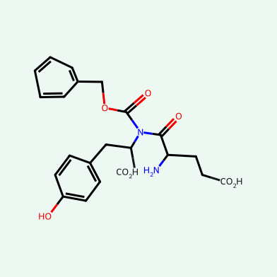 NC(CCC(=O)O)C(=O)N(C(=O)OCc1ccccc1)C(Cc1ccc(O)cc1)C(=O)O